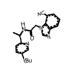 CC(NC(=O)Cn1cnc2cccc(C#N)c21)c1ccc(C(C)(C)C)cn1